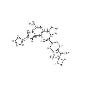 Nc1nc(N2CCC[C@H]2C(=O)N2CCN(C(=O)C3(C(F)(F)F)CCC3)CC2)nc2nc(-c3ccco3)nn12